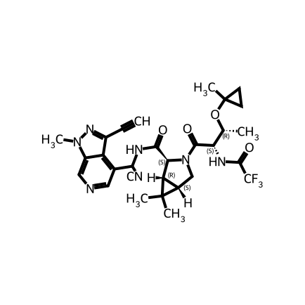 C#Cc1nn(C)c2cncc(C(C#N)NC(=O)[C@@H]3[C@@H]4[C@H](CN3C(=O)[C@@H](NC(=O)C(F)(F)F)[C@@H](C)OC3(C)CC3)C4(C)C)c12